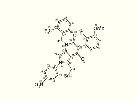 COc1cccc(-n2c(=O)c3c(CBr)n(-c4ccc([N+](=O)[O-])cc4)nc3n(Cc3ccccc3C(F)(F)F)c2=O)c1F